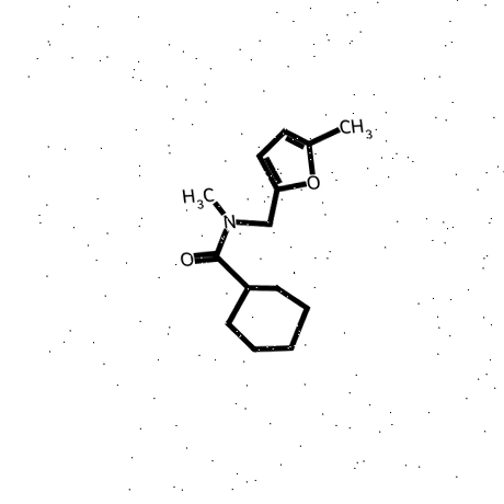 Cc1ccc(CN(C)C(=O)C2CCCCC2)o1